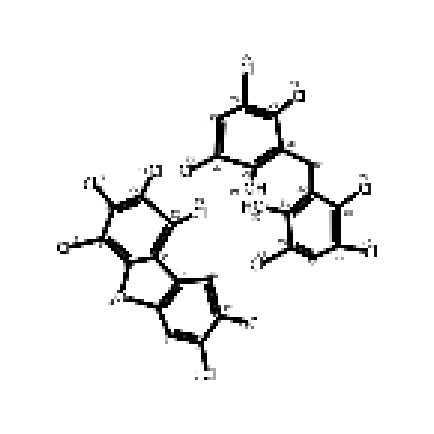 Clc1cc2oc3c(Cl)c(Cl)c(Cl)c(Cl)c3c2cc1Cl.Oc1c(Cl)cc(Cl)c(Cl)c1Cc1c(O)c(Cl)cc(Cl)c1Cl